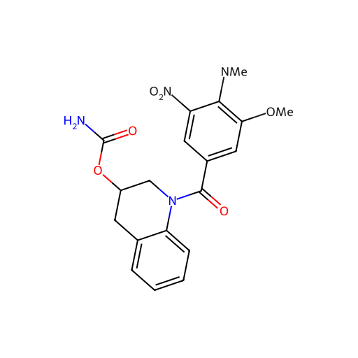 CNc1c(OC)cc(C(=O)N2CC(OC(N)=O)Cc3ccccc32)cc1[N+](=O)[O-]